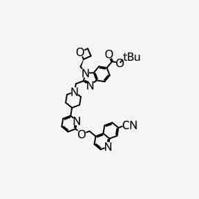 CC(C)(C)OC(=O)c1ccc2nc(CN3CCC(c4cccc(OCc5ccnc6cc(C#N)ccc56)n4)CC3)n(C[C@@H]3CCO3)c2c1